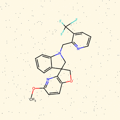 COc1ccc2c(n1)C1(CO2)CN(Cc2ncccc2C(F)(F)F)c2ccccc21